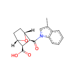 Cc1cn(C(=O)[C@H]2[C@@H](C(=O)O)[C@@H]3CC[C@H]2O3)c2ccccc12